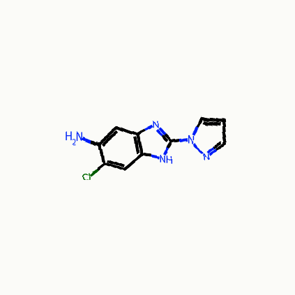 Nc1cc2nc(-n3cccn3)[nH]c2cc1Cl